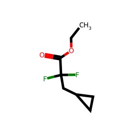 CCOC(=O)C(F)(F)CC1CC1